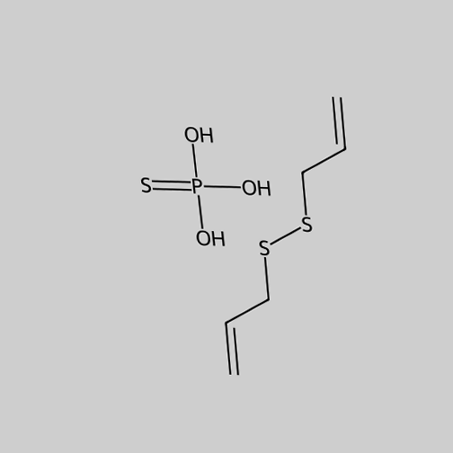 C=CCSSCC=C.OP(O)(O)=S